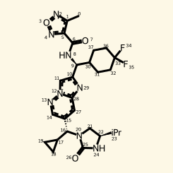 Cc1nonc1C(=O)N[C@H](c1cn2ncc([C@@H](C3CC3)N3C[C@@H](C(C)C)NC3=O)cc2n1)C1CCC(F)(F)CC1